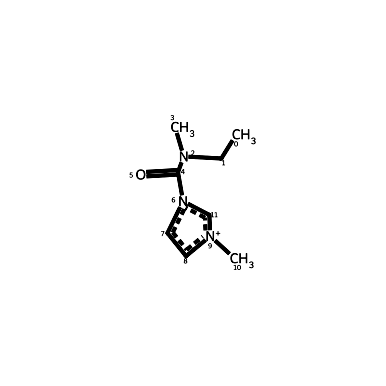 CCN(C)C(=O)n1cc[n+](C)c1